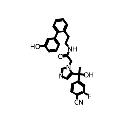 CC(O)(c1ccc(C#N)c(F)c1)c1cncn1CC(=O)NCCc1ccccc1-c1cccc(O)c1